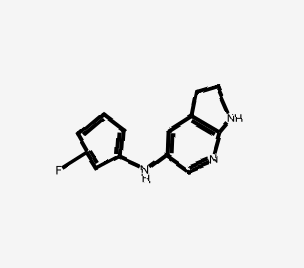 Fc1cccc(Nc2cnc3c(c2)CCN3)c1